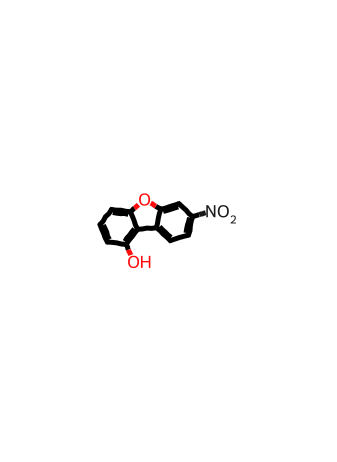 O=[N+]([O-])c1ccc2c(c1)oc1cccc(O)c12